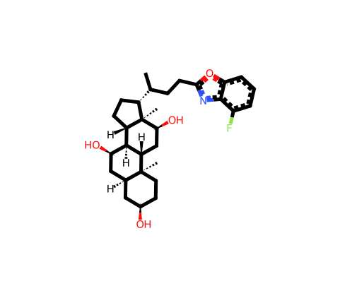 CC(CCc1nc2c(F)cccc2o1)[C@H]1CC[C@H]2[C@@H]3[C@H](O)C[C@@H]4C[C@H](O)CC[C@]4(C)[C@H]3C[C@H](O)[C@]12C